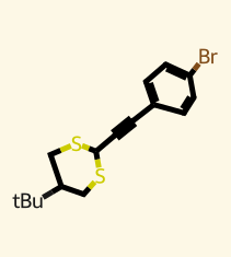 CC(C)(C)C1CSC(C#Cc2ccc(Br)cc2)SC1